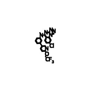 CN(c1cccc(-c2ccc(OCC(F)(F)F)nc2)c1)c1nc2nncn2c2cc(Cl)ccc12